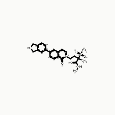 CC(CCn1ccc2cc(-c3ccc4c(c3)COC4)ccc2c1=O)(C(=O)NO)S(C)(=O)=O